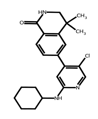 CC1(C)CNC(=O)c2ccc(-c3cc(NC4CCCCC4)ncc3Cl)cc21